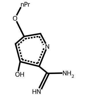 CCCOc1cnc(C(=N)N)c(O)c1